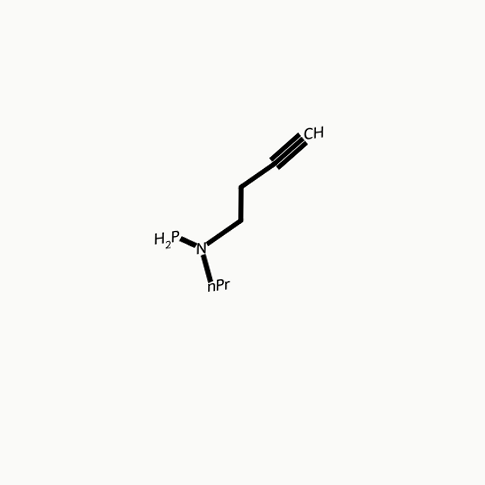 C#CCCN(P)CCC